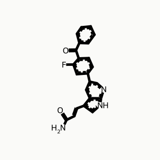 NC(=O)/C=C/c1c[nH]c2ncc(-c3ccc(C(=O)c4ccccc4)c(F)c3)cc12